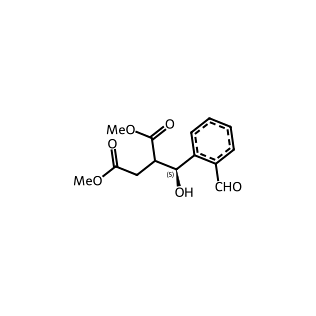 COC(=O)CC(C(=O)OC)[C@H](O)c1ccccc1C=O